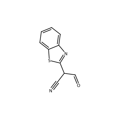 N#CC(C=O)c1nc2ccccc2s1